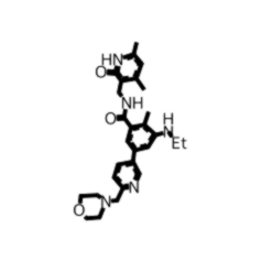 CCNc1cc(-c2ccc(CN3CCOCC3)nc2)cc(C(=O)NCc2c(C)cc(C)[nH]c2=O)c1C